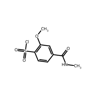 CNC(=O)c1ccc(S(=O)(=O)Cl)c(OC)c1